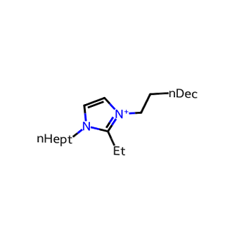 CCCCCCCCCCCC[n+]1ccn(CCCCCCC)c1CC